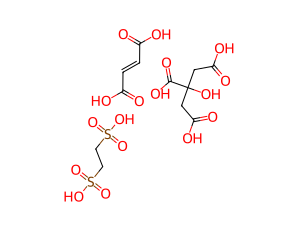 O=C(O)/C=C/C(=O)O.O=C(O)CC(O)(CC(=O)O)C(=O)O.O=S(=O)(O)CCS(=O)(=O)O